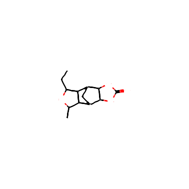 CCC1OC(C)C2C3CC(C4OC(=O)OC34)C12